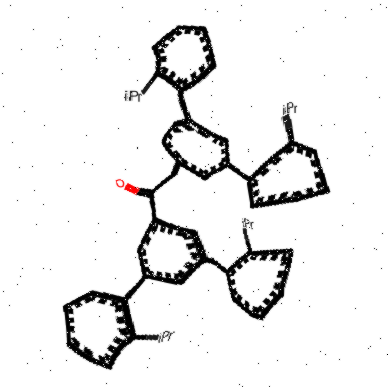 CC(C)c1ccccc1-c1cc(C(=O)c2cc(-c3ccccc3C(C)C)cc(-c3ccccc3C(C)C)c2)cc(-c2ccccc2C(C)C)c1